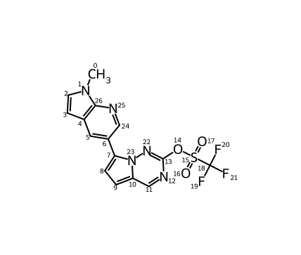 Cn1ccc2cc(-c3ccc4cnc(OS(=O)(=O)C(F)(F)F)nn34)cnc21